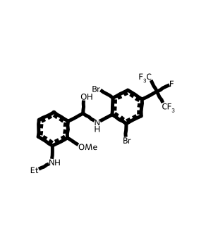 CCNc1cccc(C(O)Nc2c(Br)cc(C(F)(C(F)(F)F)C(F)(F)F)cc2Br)c1OC